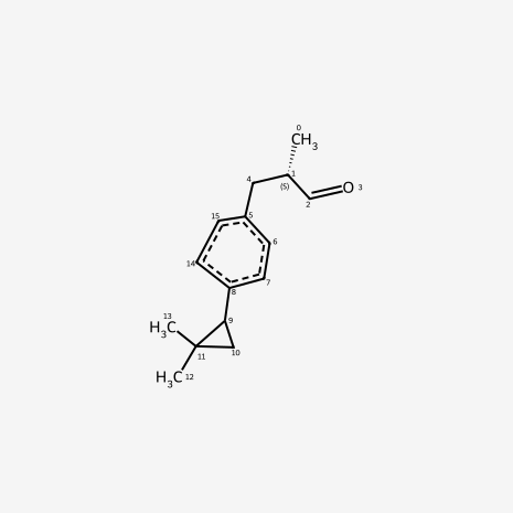 C[C@H](C=O)Cc1ccc(C2CC2(C)C)cc1